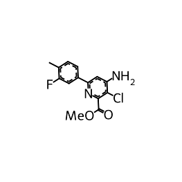 COC(=O)c1nc(-c2ccc(C)c(F)c2)cc(N)c1Cl